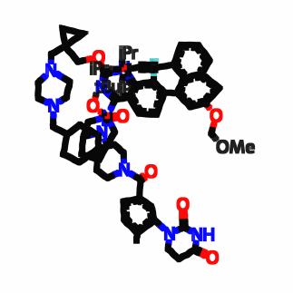 COCOc1cc(-c2ccc3c(N4CC5CCC(C4)N5C(=O)OC(C)(C)C)nc(OCC4(CN5CCN(CC6CCC7(CC6)CCN(C(=O)c6ccc(C)c(N8CCC(=O)NC8=O)c6)CC7)CC5)CC4)nc3c2F)c2c(C#C[Si](C(C)C)(C(C)C)C(C)C)cccc2c1